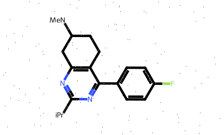 CNC1CCc2c(nc(C(C)C)nc2-c2ccc(F)cc2)C1